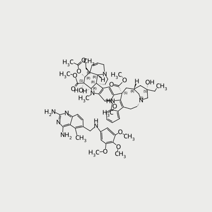 CC[C@]1(O)C[C@@H]2C[N@@](CCc3c([nH]c4ccccc34)[C@@](C(=O)OC)(c3cc4c(cc3OC)N(C)[C@H]3[C@@](O)(C(=O)OC)[C@H](OC(C)=O)[C@]5(CC)C=CCN6CC[C@]43[C@@H]65)C2)C1.COc1cc(NCc2ccc3nc(N)nc(N)c3c2C)cc(OC)c1OC